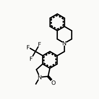 CN1Cc2c(cc(CN3CCc4ccccc4C3)cc2C(F)(F)F)C1=O